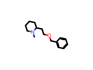 CN1CCCCC1CCOCc1ccccc1